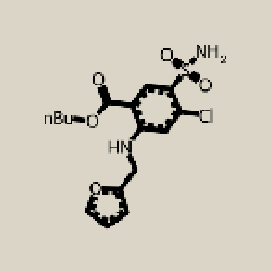 CCCCOC(=O)c1cc(S(N)(=O)=O)c(Cl)cc1NCc1ccco1